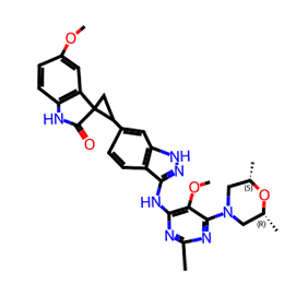 COc1ccc2c(c1)C1(CC1c1ccc3c(Nc4nc(C)nc(N5C[C@@H](C)O[C@@H](C)C5)c4OC)n[nH]c3c1)C(=O)N2